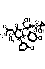 CC[C@@H](CNS(=O)(=O)C1(C)CC1)N1C(=O)[C@@](C)(CC(N)=O)C[C@H](c2cccc(Cl)c2)[C@H]1c1ccc(Cl)cc1